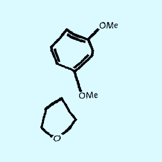 C1CCOC1.COc1cccc(OC)c1